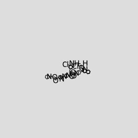 Nc1c(Cl)cc(C[C@@H](OC(=O)N2CCC(c3cc4ccccc4[nH]c3=O)CC2)C(=O)N2CCN(c3ccc(C(=O)OCCN4CCCCC4)cn3)CC2)cc1C(F)(F)F